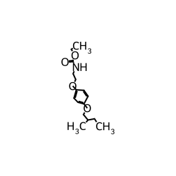 CCOC(=O)NCCOc1ccc(OCC(C)CC)cc1